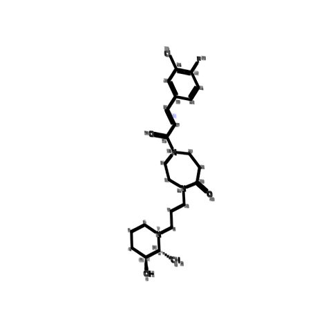 C[C@@H]1[C@@H](O)CCCN1CCCN1CCN(C(=O)/C=C/c2ccc(F)c(Cl)c2)CCC1=O